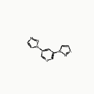 c1cn(-c2cncc(-n3ccnn3)c2)nn1